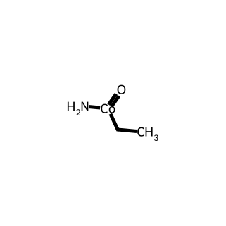 C[CH2][Co]([NH2])=[O]